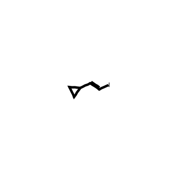 IC=CC1CC1